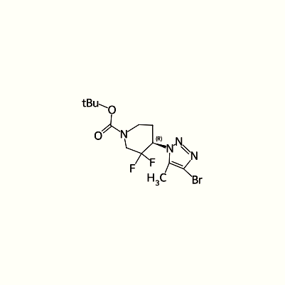 Cc1c(Br)nnn1[C@@H]1CCN(C(=O)OC(C)(C)C)CC1(F)F